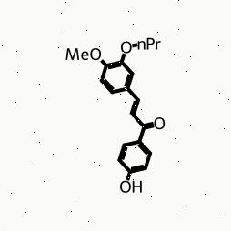 CCCOc1cc(/C=C/C(=O)c2ccc(O)cc2)ccc1OC